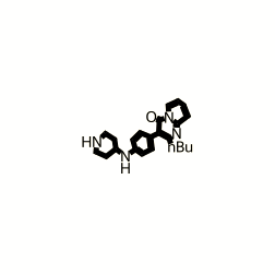 CCCCc1nc2ccccn2c(=O)c1-c1ccc(NC2CCNCC2)cc1